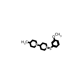 COc1cccc(SN2CCC(N3CCC(C)CC3)CC2)c1